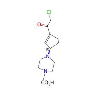 O=C(CCl)C1=C[C@H](N2CCN(C(=O)O)CC2)CC1